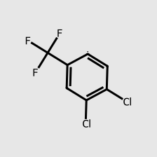 FC(F)(F)c1[c]cc(Cl)c(Cl)c1